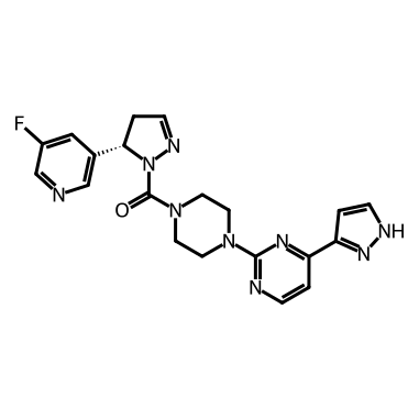 O=C(N1CCN(c2nccc(-c3cc[nH]n3)n2)CC1)N1N=CC[C@H]1c1cncc(F)c1